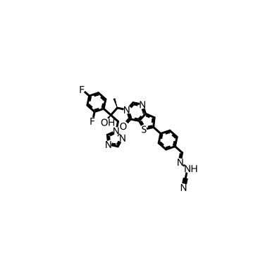 C[C@@H](n1cnc2cc(-c3ccc(C=NNC#N)cc3)sc2c1=O)[C@](O)(Cn1cncn1)c1ccc(F)cc1F